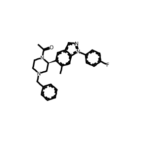 CC(=O)N1CCN(Cc2ccccc2)C[C@@H]1c1cc2cnn(-c3ccc(F)cc3)c2cc1C